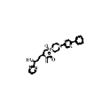 O=CNC(CCC(O)c1ncccn1)CS(=O)(=O)N1CCN(c2cnc(-c3ccccc3)cn2)CC1